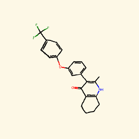 Cc1[nH]c2c(c(=O)c1-c1cccc(Oc3ccc(C(F)(F)F)cc3)c1)CCCC2